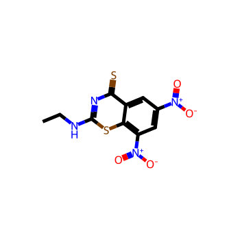 CCNc1nc(=S)c2cc([N+](=O)[O-])cc([N+](=O)[O-])c2s1